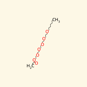 C=CC(=O)OCCOCCOCCOCCOCCCOCCCCCCC